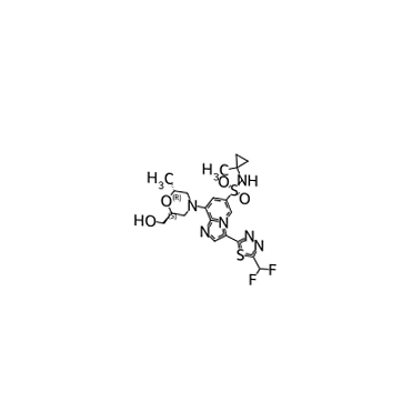 C[C@@H]1CN(c2cc(S(=O)(=O)NC3(C)CC3)cn3c(-c4nnc(C(F)F)s4)cnc23)C[C@@H](CO)O1